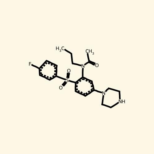 CCCN(C(C)=O)c1cc(N2CCNCC2)ccc1S(=O)(=O)c1ccc(F)cc1